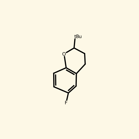 CC(C)(C)C1CCc2cc(F)ccc2O1